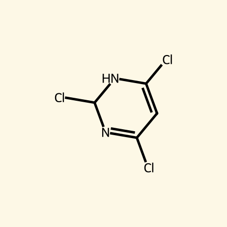 ClC1=CC(Cl)=NC(Cl)N1